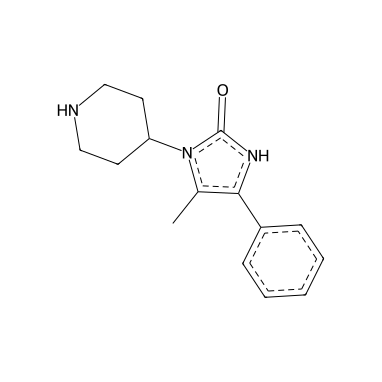 Cc1c(-c2ccccc2)[nH]c(=O)n1C1CCNCC1